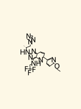 CCOc1ccc(-c2ccc3nc(N[C@H](C)Cn4cncn4)nc(NCC(F)(F)F)c3n2)cn1